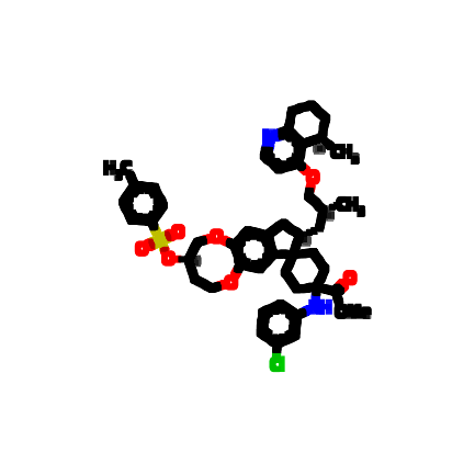 COC(=O)C1(Nc2cccc(Cl)c2)CCC2(CC1)c1cc3c(cc1C[C@@H]2C[C@@H](C)COc1ccnc2c1[C@H](C)CCC2)OC[C@@H](OS(=O)(=O)c1ccc(C)cc1)CCO3